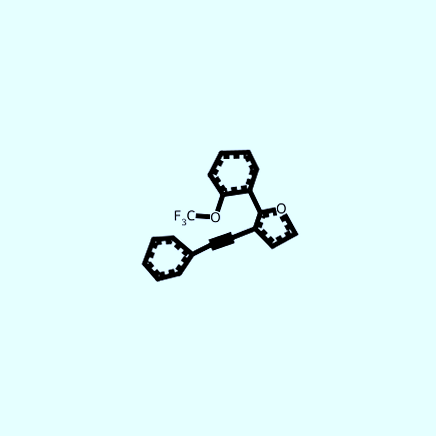 FC(F)(F)Oc1ccccc1-c1occc1C#Cc1ccccc1